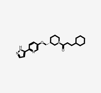 O=C(CCC1CCCCC1)N1CCC[C@@H](COc2ccc(-c3ccn[nH]3)nc2)C1